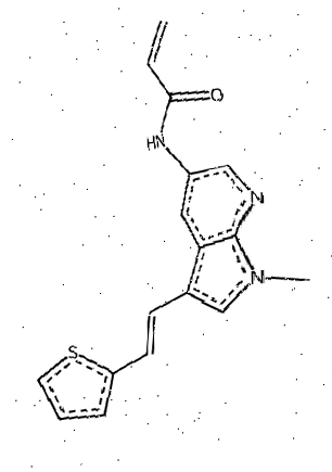 C=CC(=O)Nc1cnc2c(c1)c(/C=C/c1cccs1)cn2C